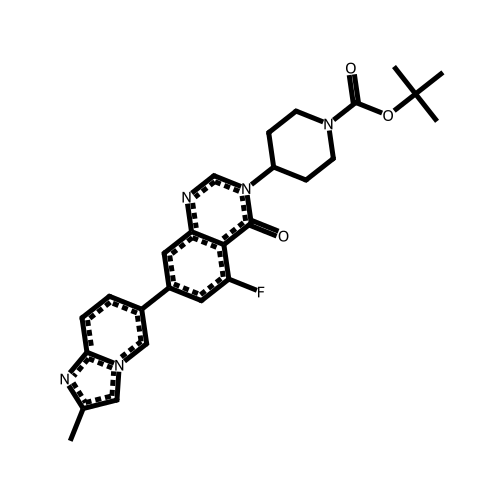 Cc1cn2cc(-c3cc(F)c4c(=O)n(C5CCN(C(=O)OC(C)(C)C)CC5)cnc4c3)ccc2n1